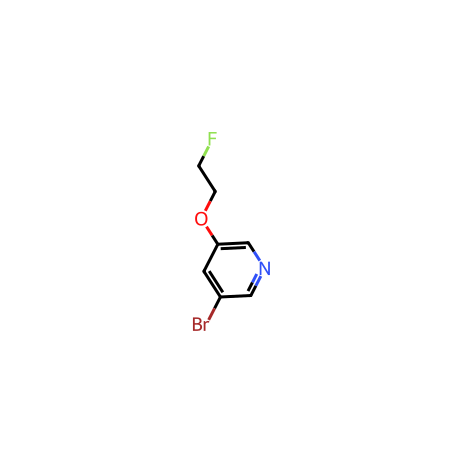 FCCOc1cncc(Br)c1